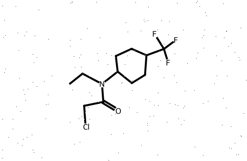 CCN(C(=O)CCl)C1CCC(C(F)(F)F)CC1